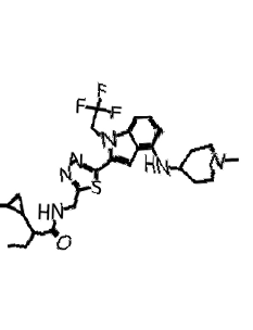 CCC(C(=O)NCc1nnc(-c2cc3c(NC4CCN(C)CC4)cccc3n2CC(F)(F)F)s1)C1CC1